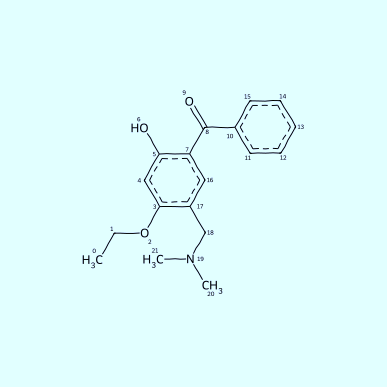 CCOc1cc(O)c(C(=O)c2ccccc2)cc1CN(C)C